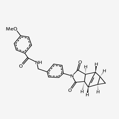 COc1ccc(C(=O)NCc2ccc(N3C(=O)[C@@H]4[C@@H]5C=C[C@@H]([C@H]6C[C@@H]56)[C@@H]4C3=O)cc2)cc1